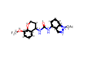 CC(=O)On1ncc2c(NC(=O)NC3CCOc4c(OC(F)(F)F)cccc43)cccc21